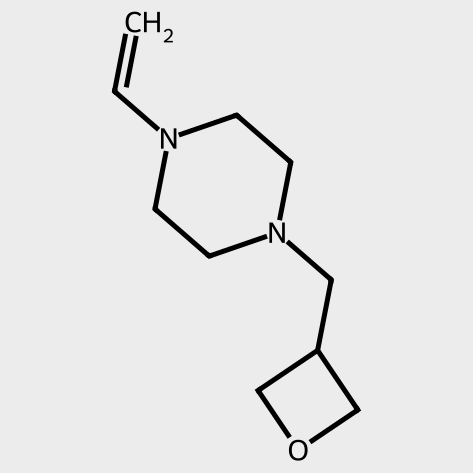 C=CN1CCN(CC2COC2)CC1